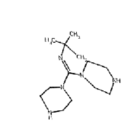 CC(C)(C)N=C(N1CCNCC1)N1CCNCC1